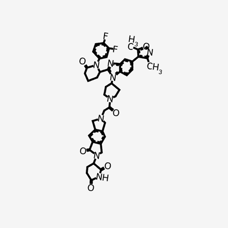 Cc1noc(C)c1-c1ccc2c(c1)nc(C1CCCC(=O)N1c1ccc(F)c(F)c1)n2C1CCN(C(=O)CN2Cc3cc4c(cc3C2)C(=O)N(C2CCC(=O)NC2=O)C4)CC1